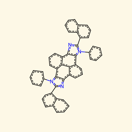 c1ccc(-n2c(-c3cccc4ccccc34)nc3c4cccc5c4c4c(cccc4c32)c2nc(-c3cccc4ccccc34)n(-c3ccccc3)c52)cc1